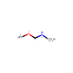 CCCOCNC(=O)O